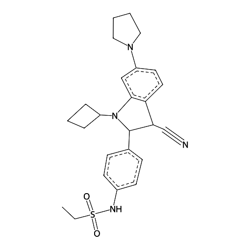 CCS(=O)(=O)Nc1ccc(C2C(C#N)c3ccc(N4CCCC4)cc3N2C2CCC2)cc1